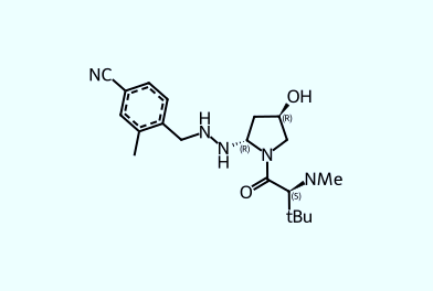 CN[C@H](C(=O)N1C[C@H](O)C[C@H]1NNCc1ccc(C#N)cc1C)C(C)(C)C